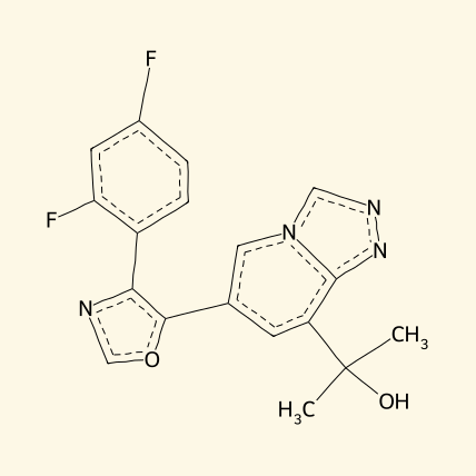 CC(C)(O)c1cc(-c2ocnc2-c2ccc(F)cc2F)cn2cnnc12